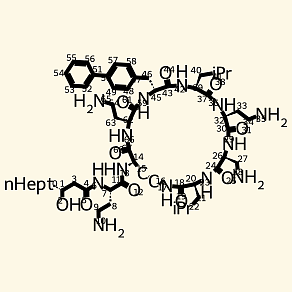 CCCCCCC[C@@H](O)CC(=O)N[C@@H](CCN)C(=O)N[C@H]1CCNC(=O)[C@H](CC(C)C)NC(=O)[C@H](CN)NC(=O)[C@H](CCN)NC(=O)[C@H](CC(C)C)NC(=O)[C@@H](Cc2ccc(-c3ccccc3)cc2)NC(=O)[C@H](CCN)NC1=O